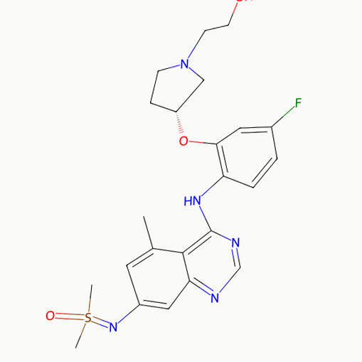 Cc1cc(N=S(C)(C)=O)cc2ncnc(Nc3ccc(F)cc3O[C@@H]3CCN(CCO)C3)c12